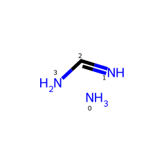 N.N=CN